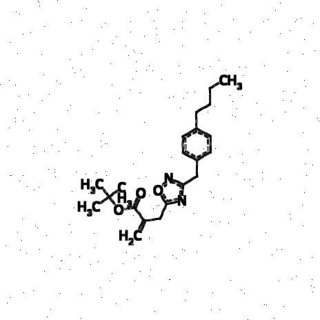 C=C(Cc1nc(Cc2ccc(CCCC)cc2)no1)C(=O)OC(C)(C)C